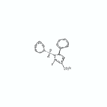 CCOC(=O)c1cc(-c2ccccc2)n(S(=O)(=O)c2ccccc2)c1F